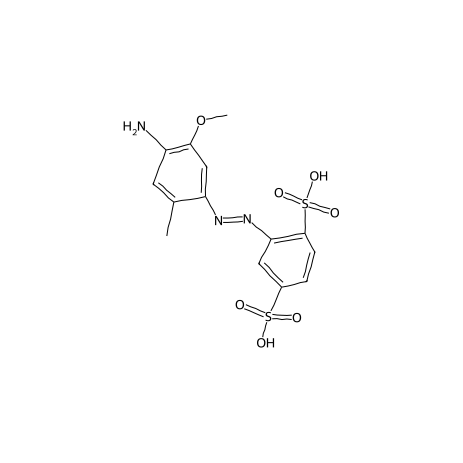 COc1cc(N=Nc2cc(S(=O)(=O)O)ccc2S(=O)(=O)O)c(C)cc1N